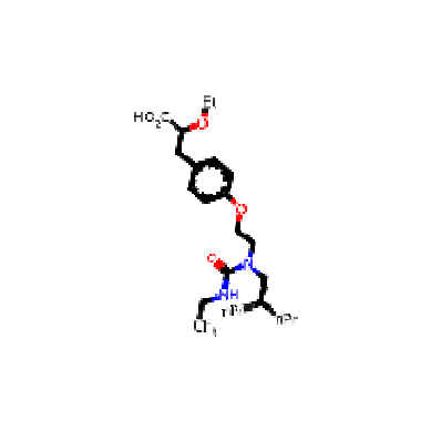 CCCC(CCC)CN(CCOc1ccc(CC(OCC)C(=O)O)cc1)C(=O)NCC(F)(F)F